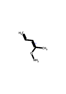 C=C/C=C(/C)ON